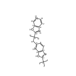 CC(C)(C)c1nc2ccc(CC(C)(C)c3nc4ccncc4o3)nc2o1